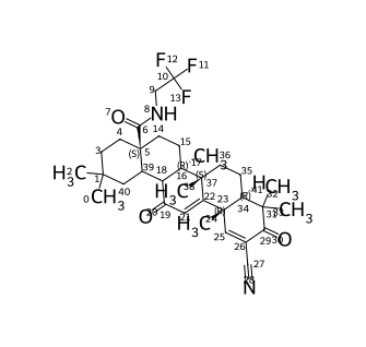 CC1(C)CC[C@]2(C(=O)NCC(F)(F)F)CC[C@]3(C)C(C(=O)C=C4[C@@]5(C)C=C(C#N)C(=O)C(C)(C)[C@@H]5CC[C@]43C)C2C1